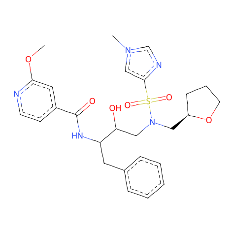 COc1cc(C(=O)NC(Cc2ccccc2)C(O)CN(C[C@H]2CCCO2)S(=O)(=O)c2cn(C)cn2)ccn1